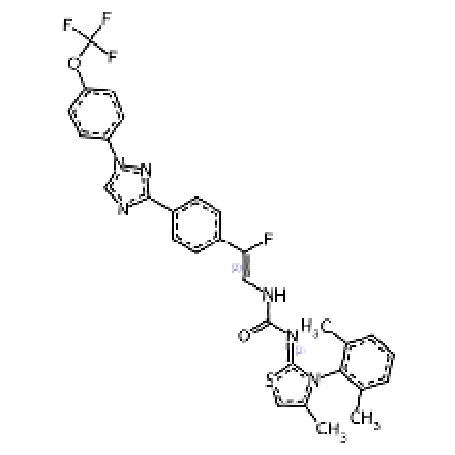 Cc1cccc(C)c1-n1c(C)cs/c1=N\C(=O)N/C=C(\F)c1ccc(-c2ncn(-c3ccc(OC(F)(F)F)cc3)n2)cc1